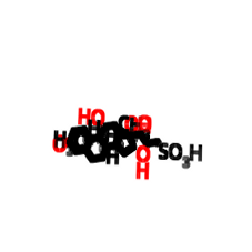 C[C@]12CCC(=O)C=C1CC[C@@H]1[C@@H]2C(O)C[C@@]2(C)[C@H]1CC[C@]2(O)C(=O)C(O)CS(=O)(=O)O